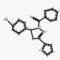 O=C(c1ccccc1)N1N=C(c2cccs2)CC1c1ccc(O)cc1